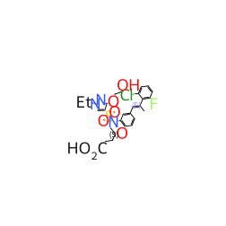 CCn1cc(S(=O)(=O)N2C[C@H](CCC(=O)O)Oc3ccc(/C=C(\C)c4c(F)cccc4Cl)cc32)c(OCCO)n1